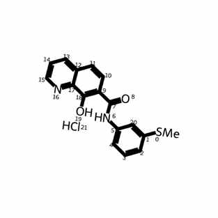 CSc1cccc(NC(=O)c2ccc3cccnc3c2O)c1.Cl